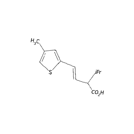 Cc1csc(C=CC(C(=O)O)C(C)C)c1